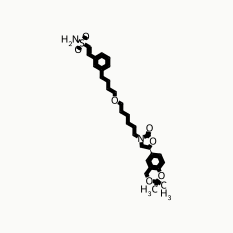 CC1(C)OCc2cc([C@@H]3CN(CCCCCCOCCCCc4cccc(/C=C/S(N)(=O)=O)c4)C(=O)O3)ccc2O1